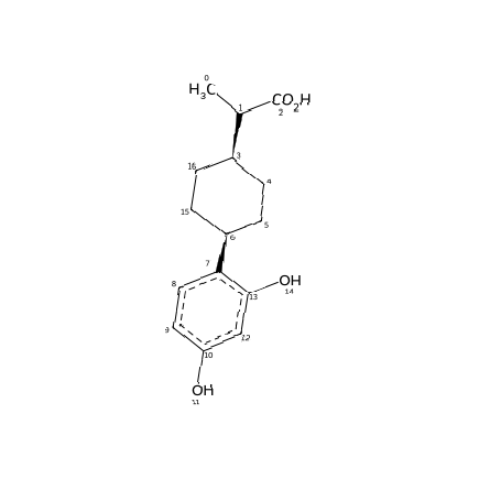 CC(C(=O)O)[C@H]1CC[C@@H](c2ccc(O)cc2O)CC1